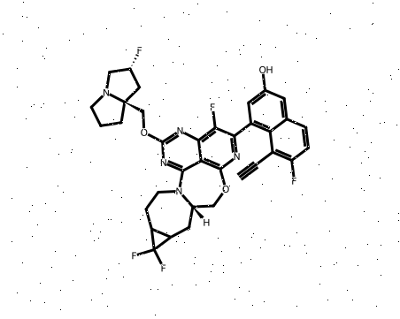 C#Cc1c(F)ccc2cc(O)cc(-c3nc4c5c(nc(OC[C@@]67CCCN6C[C@H](F)C7)nc5c3F)N3CCC5C(C[C@H]3CO4)C5(F)F)c12